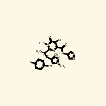 C[C@@H](c1nc(C(=O)Nc2cnoc2)c(O)c(=O)n1C)[C@@H](c1cc(F)ccc1C#N)c1cn(C)nc1C#N